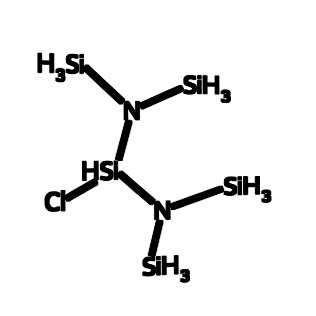 [SiH3]N([SiH3])[SiH](Cl)N([SiH3])[SiH3]